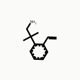 C=Cc1ccccc1C(C)(C)CN